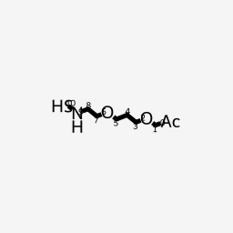 CC(=O)COCCCOCCNS